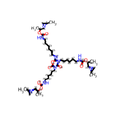 CC(CN1CC1C)OC(=O)NCCCCCC/N=c1\oc(=O)n(CCCCCCNC(=O)OC(C)CN2CC2C)c(=O)n1CCCCCCNC(=O)OC(C)CN1CC1C